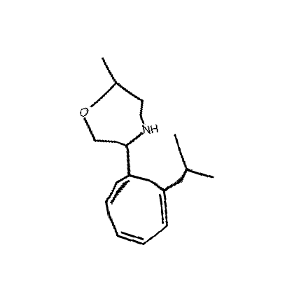 CC1CNC(c2ccccc2C(C)C)CO1